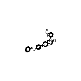 COc1cccc(N2CC3(CCN(c4ccc(OCc5ccccc5)cc4)CC3)OCC2=O)n1